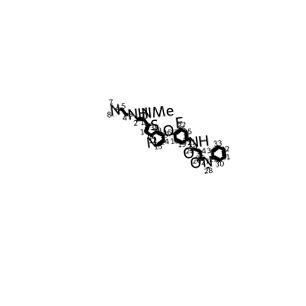 CN/C(=C\NCCN(C)C)c1cc2nccc(Oc3ccc(NC(=O)CC(=O)N(C)c4ccccc4)cc3F)c2s1